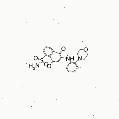 NS(=O)(=O)c1cccc2c1C(=O)C=C(Nc1ccccc1N1CCOCC1)C2=O